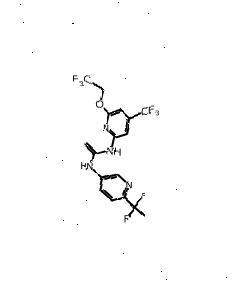 C=C(Nc1ccc(C(C)(F)F)nc1)Nc1cc(C(F)(F)F)cc(OCC(F)(F)F)n1